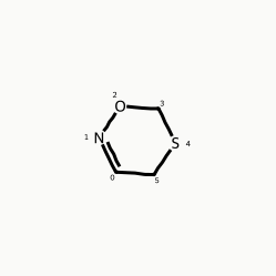 C1=NOCSC1